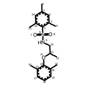 Cc1cc(C)c(S(=O)(=O)NCC(C)Oc2c(C)cccc2C)c(C)c1